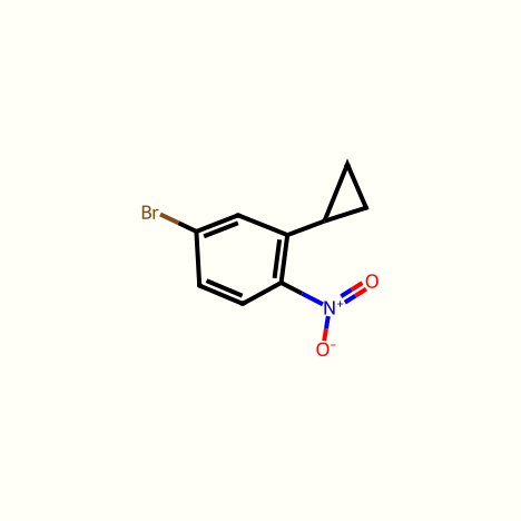 O=[N+]([O-])c1ccc(Br)cc1C1CC1